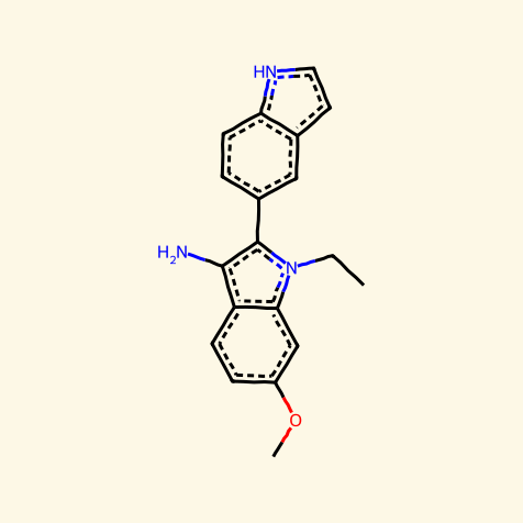 CCn1c(-c2ccc3[nH]ccc3c2)c(N)c2ccc(OC)cc21